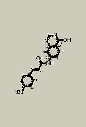 CC(C)(C)c1ccc(/C=C/C(=O)Nc2ccc3c(O)ncnc3c2)cc1